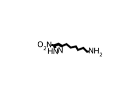 NCCCCCCc1cc([N+](=O)[O-])[nH]n1